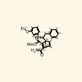 CCOc1cccc(NC(Cc2ccccc2)C23C=CC(O2)C(C(N)=O)=C3C(=O)OC)c1